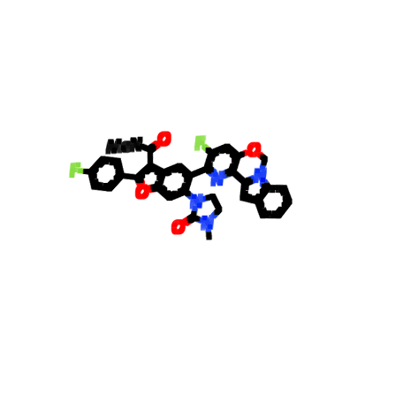 CNC(=O)c1c(-c2ccc(F)cc2)oc2cc(N3CCN(C)C3=O)c(-c3nc4c(cc3F)OCn3c-4cc4ccccc43)cc12